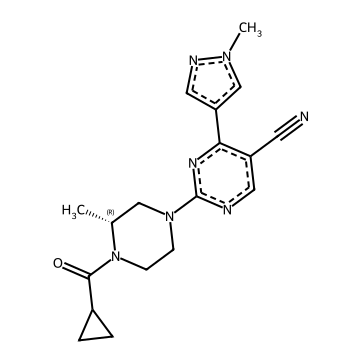 C[C@@H]1CN(c2ncc(C#N)c(-c3cnn(C)c3)n2)CCN1C(=O)C1CC1